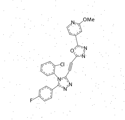 COc1cc(-c2nnc(C#Cc3nnc(-c4ccc(F)cc4)n3-c3ccccc3Cl)o2)ccn1